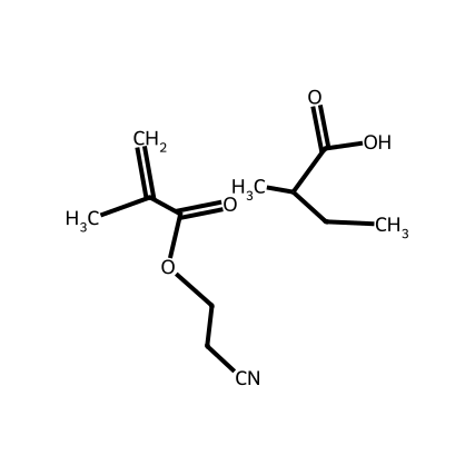 C=C(C)C(=O)OCCC#N.CCC(C)C(=O)O